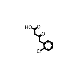 O=C(O)CC(=O)Cc1ccccc1Cl